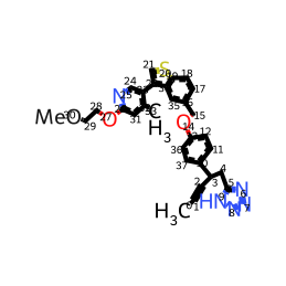 CC#CC(Cc1nnn[nH]1)c1ccc(OCc2ccc3scc(-c4cnc(OCCOC)cc4C)c3c2)cc1